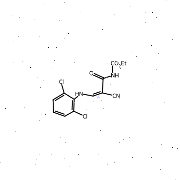 CCOC(=O)NC(=O)/C(C#N)=C\Nc1c(Cl)cccc1Cl